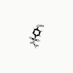 [CH2]CCNS(=O)(=O)c1ccc(OC)cc1